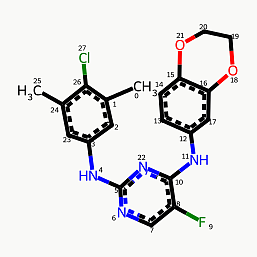 Cc1cc(Nc2ncc(F)c(Nc3ccc4c(c3)OCCO4)n2)cc(C)c1Cl